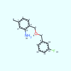 Cc1ccc(COCc2cccc(F)c2)c(N)c1